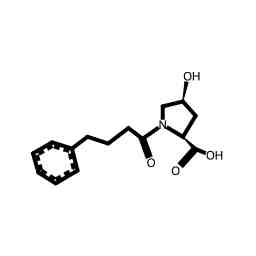 O=C(O)[C@@H]1C[C@H](O)CN1C(=O)CCCc1ccccc1